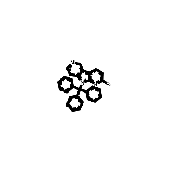 Brc1ccc2c3cnccc3n(C(c3ccccc3)(c3ccccc3)c3ccccc3)c2n1